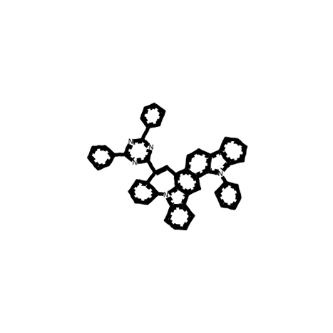 C1=C(c2nc(-c3ccccc3)nc(-c3ccccc3)n2)c2ccccc2-n2c3ccccc3c3cc4c(ccc5c6ccccc6n(-c6ccccc6)c45)c1c32